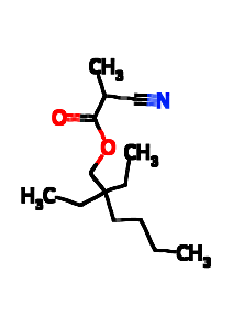 CCCCC(CC)(CC)COC(=O)C(C)C#N